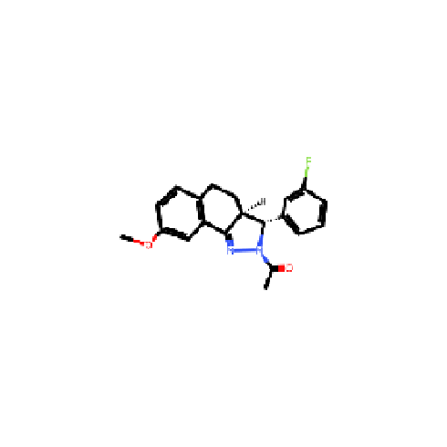 COc1ccc2c(c1)C1=NN(C(C)=O)[C@@H](c3cccc(F)c3)[C@@H]1CC2